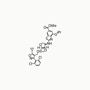 COC(=O)c1cc(OC(C)C)c2nc(N[C@@H]3CO[C@H]4[C@@H]3OC[C@H]4OCc3c(-c4c(Cl)cccc4Cl)noc3C3CC3)sc2c1